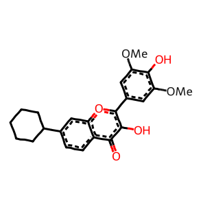 COc1cc(-c2oc3cc(C4CCCCC4)ccc3c(=O)c2O)cc(OC)c1O